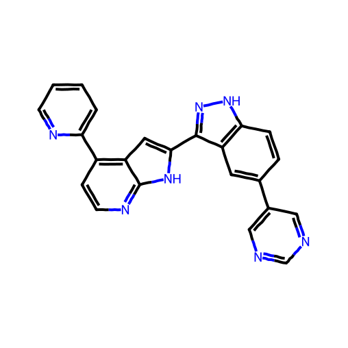 c1ccc(-c2ccnc3[nH]c(-c4n[nH]c5ccc(-c6cncnc6)cc45)cc23)nc1